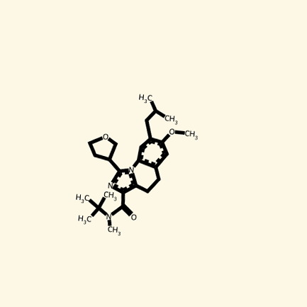 COc1cc2c(cc1CC(C)C)-n1c(C3CCOC3)nc(C(=O)N(C)C(C)(C)C)c1CC2